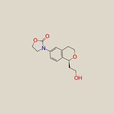 O=C1OCCN1c1ccc2c(c1)CCO[C@H]2CCO